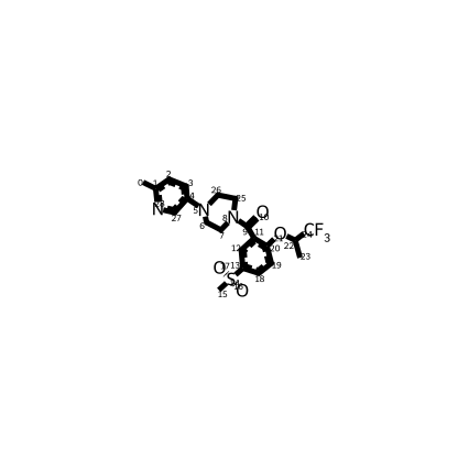 Cc1ccc(N2CCN(C(=O)c3cc(S(C)(=O)=O)ccc3OC(C)C(F)(F)F)CC2)cn1